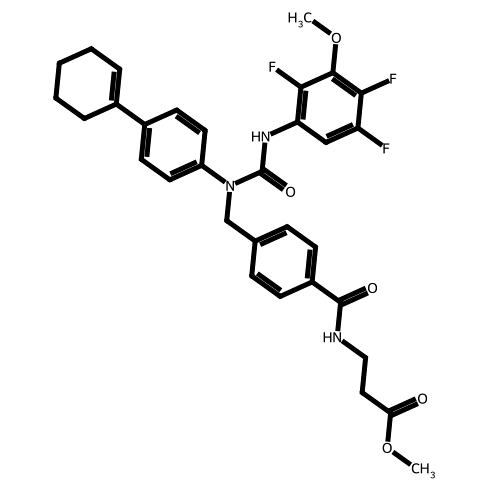 COC(=O)CCNC(=O)c1ccc(CN(C(=O)Nc2cc(F)c(F)c(OC)c2F)c2ccc(C3=CCCCC3)cc2)cc1